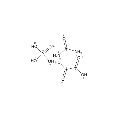 NC(N)=O.O=C(O)C(=O)O.O=P(O)(O)O